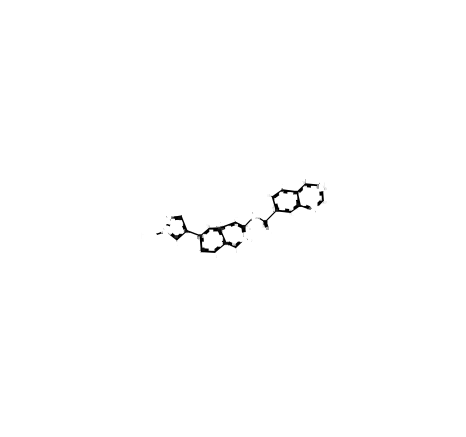 Cn1cc(-c2ccc3cnc(NC(=O)c4ccc5cncnc5c4)cc3c2)cn1